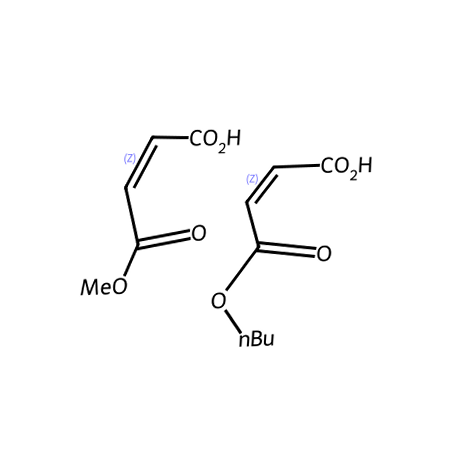 CCCCOC(=O)/C=C\C(=O)O.COC(=O)/C=C\C(=O)O